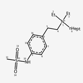 CCCCCCC[N+](CC)(CC)CCc1ccc(NS(C)(=O)=O)cc1